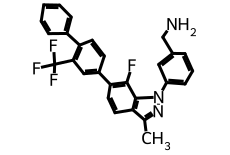 Cc1nn(-c2cccc(CN)c2)c2c(F)c(-c3ccc(-c4ccccc4)c(C(F)(F)F)c3)ccc12